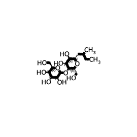 CCC(C)C[C@@H]1O[C@H](CO)[C@@H](OC2O[C@H](CO)[C@H](O)[C@H](O)[C@H]2O)[C@H](O)[C@H]1O